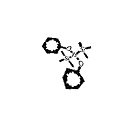 C[Si](C)(C)[Zr]([O]c1ccccc1)([O]c1ccccc1)[Si](C)(C)C